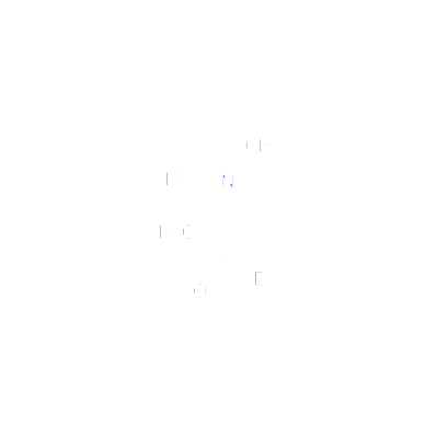 CCC(C)([O])CN(C)C